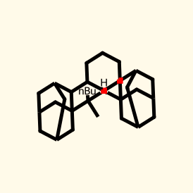 CCCCC(C)(NC12CC3CC(CC(C3)C1)C2)C12CC3CC(CC(C3)C1C1CCCCC1)C2